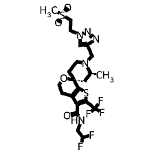 C[C@H]1C[C@@]2(CCN1Cc1cn(CCS(C)(=O)=O)nn1)OCCc1c2sc(C(F)(F)F)c1C(=O)NCC(F)F